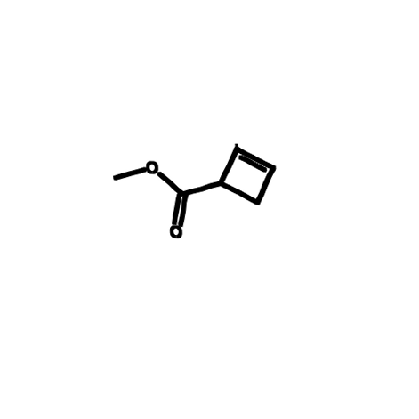 COC(=O)C1[C]=CC1